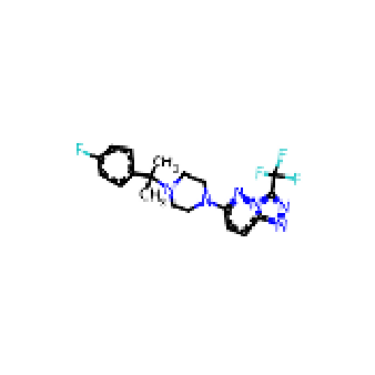 CC(C)(c1ccc(F)cc1)N1CCN(c2ccc3nnc(C(F)(F)F)n3n2)CC1